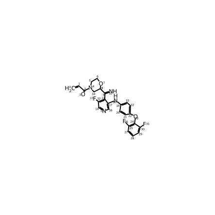 C=CC(=O)N1CCOC(C(=N)c2c(F)cncc2Nc2ccc(Oc3c(F)cccc3F)cc2)C1